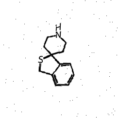 c1ccc2c(c1)CSC21CCNCC1